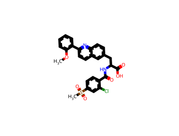 COc1ccccc1-c1ccc2cc(CC(NC(=O)c3ccc(S(C)(=O)=O)cc3Cl)C(=O)O)ccc2n1